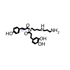 NCCCNCCCCN(C(=O)/C=C/c1ccc(O)cc1)C(=O)CCc1ccc(O)c(O)c1